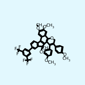 COc1ccc(C2=C(c3ccc(OC)cc3)c3c4c(c5cc(OC)c(OC)cc5c3OC2)-c2ccc(-c3cc(C(F)(F)F)cc(C(F)(F)F)c3)cc2C4(C)C)cc1